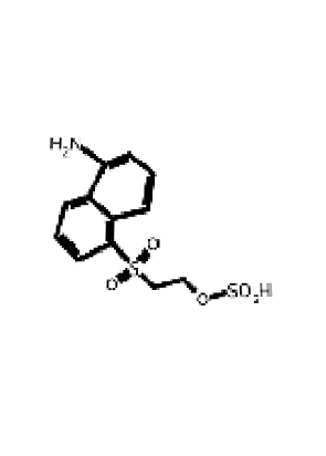 Nc1cccc2c(S(=O)(=O)CCOS(=O)(=O)O)cccc12